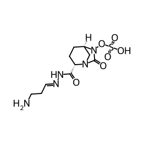 NCC/C=N/NC(=O)[C@@H]1CC[C@@H]2CN1C(=O)N2OS(=O)(=O)O